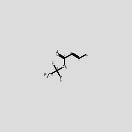 C/C=C/C(=O)OC(F)(F)C(F)(F)F